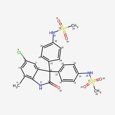 Cc1cc(Cl)cc2c1NC(=O)C2(c1ccc(NS(C)(=O)=O)cc1)c1ccc(NS(C)(=O)=O)cc1